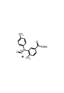 COC(=O)c1ccc(C)c(N(c2ccc(C)cc2)[SH](=O)=O)c1